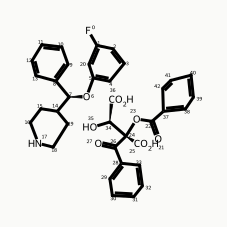 Fc1cccc(O[C@H](c2ccccc2)C2CCNCC2)c1.O=C(O[C@](C(=O)O)(C(=O)c1ccccc1)[C@@H](O)C(=O)O)c1ccccc1